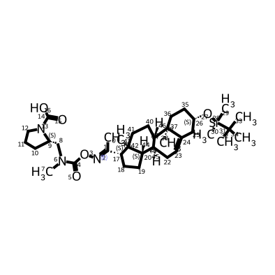 C/C(=N\OC(=O)N(C)C[C@@H]1CCCN1C(=O)O)[C@H]1CC[C@H]2[C@@H]3CC=C4C[C@@H](O[Si](C)(C)C(C)(C)C)CC[C@]4(C)[C@H]3CC[C@]12C